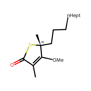 CCCCCCCCCC[C@@]1(C)SC(=O)C(C)=C1OC